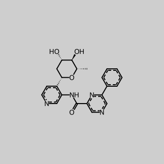 C[C@@H]1O[C@H](c2ccncc2NC(=O)c2cncc(-c3ccccc3)n2)C[C@H](O)[C@H]1O